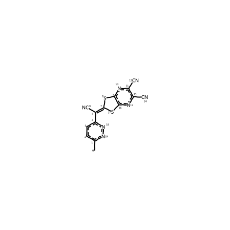 Cc1ccc(C(C#N)=C2Sc3nc(C#N)c(C#N)nc3S2)nn1